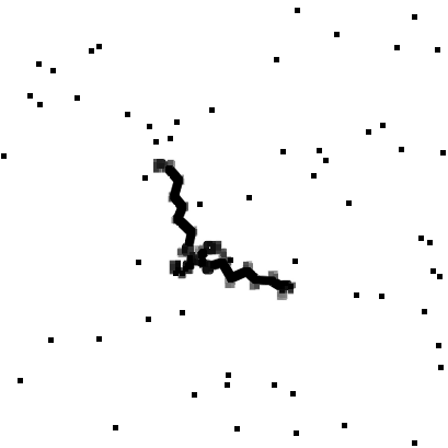 CC(C)CCCCC[O][Sn]([CH3])([CH3])[O]CCCCCC(C)C